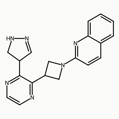 C1=NNCC1c1nccnc1C1CN(c2ccc3ccccc3n2)C1